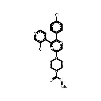 CC(C)(C)OC(=O)N1CCN(c2cnc(-c3ccc(Cl)cc3)c(-c3ccncc3Cl)n2)CC1